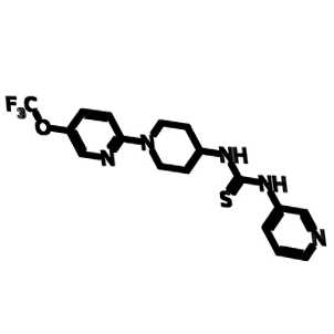 FC(F)(F)Oc1ccc(N2CCC(NC(=S)Nc3cccnc3)CC2)nc1